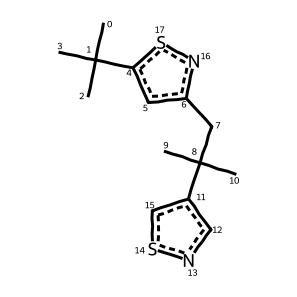 CC(C)(C)c1cc(CC(C)(C)c2cnsc2)ns1